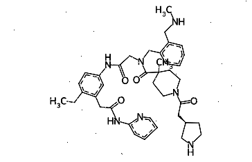 CCc1ccc(NC(=O)CN(Cc2ccccc2CNC)C(=O)C2(C)CCN(C(=O)C[C@H]3CCNC3)CC2)cc1CC(=O)Nc1ccccn1